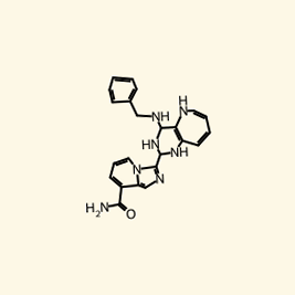 NC(=O)c1cccn2c(C3NC4=C(NC=CC=C4)C(NCc4ccccc4)N3)ncc12